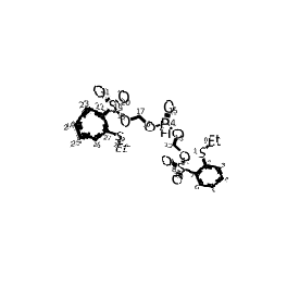 CCSc1ccccc1S(=O)(=O)OCO[PH](=O)OCOS(=O)(=O)c1ccccc1SCC